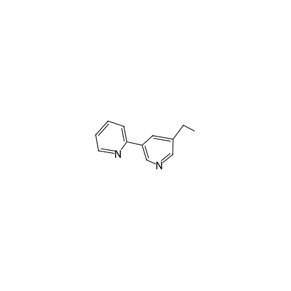 CCc1cncc(-c2ccccn2)c1